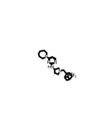 CC1(C)C2CC=C(CN3CCC(Nc4nccc(N5CCCCCC5)n4)C3)C1C2